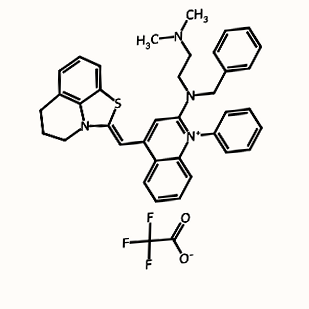 CN(C)CCN(Cc1ccccc1)c1cc(/C=C2\Sc3cccc4c3N2CCC4)c2ccccc2[n+]1-c1ccccc1.O=C([O-])C(F)(F)F